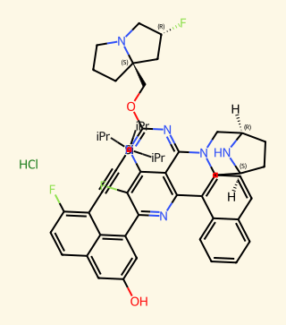 CC(C)[Si](C#Cc1c(F)ccc2cc(O)cc(-c3nc(-c4cccc5ccccc45)c4c(N5C[C@H]6CC[C@@H](C5)N6)nc(OC[C@@]56CCCN5C[C@H](F)C6)nc4c3F)c12)(C(C)C)C(C)C.Cl